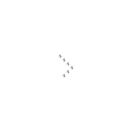 [S].[S].[S].[S].[S].[S]